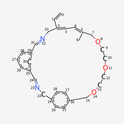 C=C/C1=C\C=C(/C)COCCOCCOCc2ccc(cc2)C/N=C/c2cccc(c2)/C=N/C1